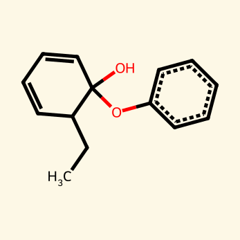 CCC1C=CC=CC1(O)Oc1ccccc1